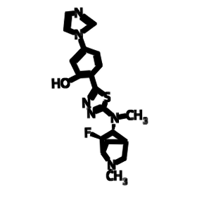 CN1CC2CC1[C@@H](F)[C@@H]2N(C)c1nnc(-c2ccc(-n3ccnc3)cc2O)s1